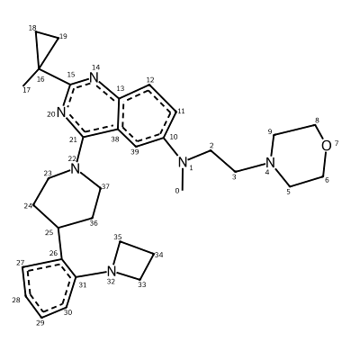 CN(CCN1CCOCC1)c1ccc2nc(C3(C)CC3)nc(N3CCC(c4ccccc4N4CCC4)CC3)c2c1